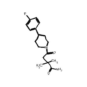 CC(C)([CH]C(=O)N1CCC(c2ccc(F)cc2)CC1)C(N)=O